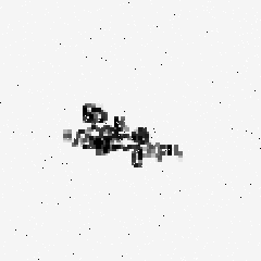 CCCc1cnoc1[C@](C)(C=O)[C@@H]1CC[C@]2(C)C(=CC(=O)[C@@H]3[C@@H]4CC(C)(C)C[C@@H](C(=O)OC)C4CC[C@]32C)C1